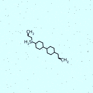 C=CC[SiH2]C1CCC(C2CCC(CC=C)CC2)CC1